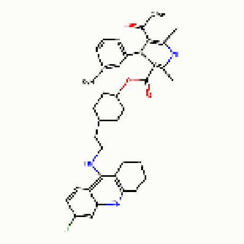 COC(=O)C1=C(C)NC(C)=C(C(=O)OC2CCC(CCNc3c4c(nc5cc(Cl)ccc35)CCCC4)CC2)C1c1cccc([N+](=O)[O-])c1